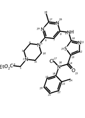 CCOC(=O)CN1CCN(c2cc(Nc3ncc(C(=O)N(Cl)c4ccccc4C)s3)nc(C)n2)CC1